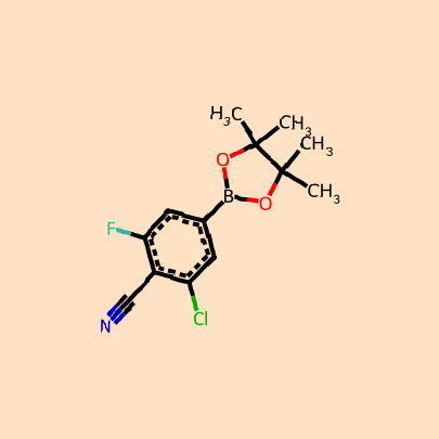 CC1(C)OB(c2cc(F)c(C#N)c(Cl)c2)OC1(C)C